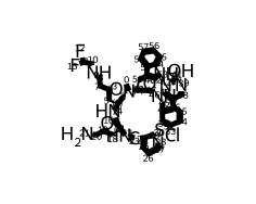 CN1C(=O)[C@H](CCCCNCC(F)F)NC(=O)[C@H](CCCN)NCc2cccnc2Sc2c(Cl)ccc(-c3cnc(O)nc3)c2CNC(=O)[C@@H]1Cc1c[nH]c2ccccc12